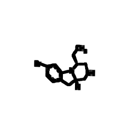 CC[C@H]1CNC[C@@H]2Cc3ccc(Br)cc3N21